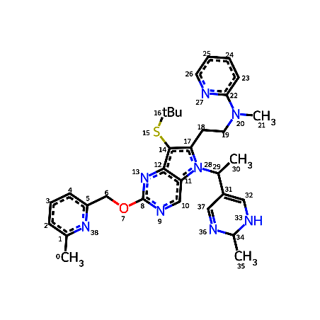 Cc1cccc(COc2ncc3c(n2)c(SC(C)(C)C)c(CCN(C)c2ccccn2)n3C(C)C2=CNC(C)N=C2)n1